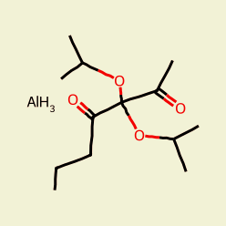 CCCC(=O)C(OC(C)C)(OC(C)C)C(C)=O.[AlH3]